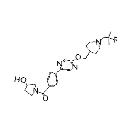 CC(C)(F)CN1CCC(COc2cnc(-c3ccc(C(=O)N4CCC(O)C4)cc3)cn2)CC1